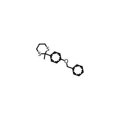 CC1(c2ccc(OCc3ccccc3)cc2)SCCCS1